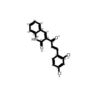 O=C(/C=C/c1ccc(Cl)cc1Cl)c1cc2ccccc2[nH]c1=O